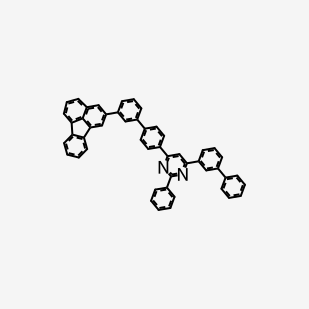 c1ccc(-c2cccc(-c3cc(-c4ccc(-c5cccc(-c6cc7c8c(cccc8c6)-c6ccccc6-7)c5)cc4)nc(-c4ccccc4)n3)c2)cc1